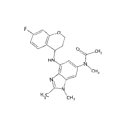 CC(=O)N(C)c1cc(NC2CCOc3cc(F)ccc32)c2nc(C)n(C)c2c1